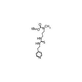 CN(CCCNC(=S)NCCc1ccncc1)C(=O)OC(C)(C)C